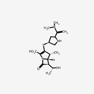 C=C(C1C[C@H](SC2=C(C(=O)O)N3C(=O)[C@H]([C@@H](C)O)[C@H]3[C@H]2C)CN1)N(C)C